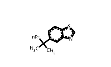 CCCC(C)(C)c1ccc2scnc2c1